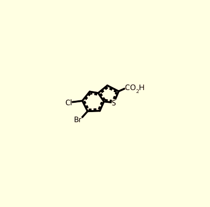 O=C(O)c1cc2cc(Cl)c(Br)cc2s1